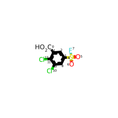 O=C(O)c1cc(S(=O)(=O)F)cc(Cl)c1Cl